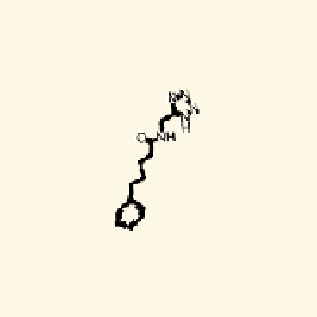 O=C(CCCCc1ccccc1)NCc1nnn[nH]1